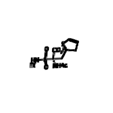 CCNS(=O)(=O)[C@@](CC1CC=CS1)(NC(C)=O)C(=O)O